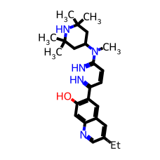 CCc1cnc2cc(O)c(C(=N)/C=C\C(=N)N(C)C3CC(C)(C)NC(C)(C)C3)cc2c1